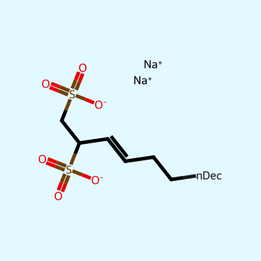 CCCCCCCCCCCCC=CC(CS(=O)(=O)[O-])S(=O)(=O)[O-].[Na+].[Na+]